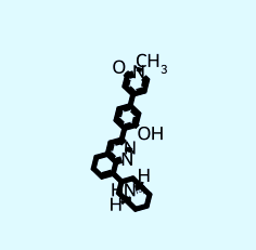 Cn1ccc(-c2ccc(-c3cc4c(nn3)C(C3C[C@H]5CCC[C@@H](C3)N5)=CCC4)c(O)c2)cc1=O